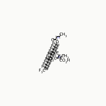 C/C=C/C(=O)OC(F)(F)C(F)(F)C(F)(F)C(F)(F)C(F)(F)C(F)(F)C(F)(F)C(F)(F)C(F)(F)C(F)(F)C(F)(F)F.C=CC(=O)O.O=C(O)/C=C\C(=O)O